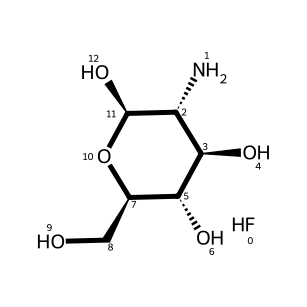 F.N[C@@H]1[C@@H](O)[C@H](O)[C@@H](CO)O[C@H]1O